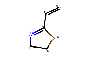 [CH]=CC1=NCCS1